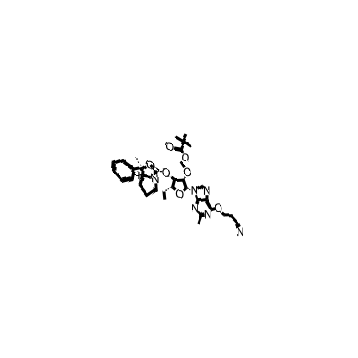 CC[C@H]1O[C@@H](n2cnc3c(OCCC#N)nc(C)nc32)[C@@H](OCOC(=O)C(C)(C)C)C1O[P@@]1O[C@](C)(c2ccccc2)[C@@H]2CCCN21